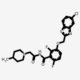 CC1CCN(CC(=O)NC(=O)c2c(F)ccc(OCc3nc4cc(Cl)ccc4s3)c2F)CC1